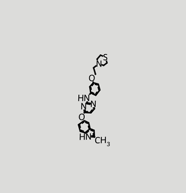 Cc1cc2cc(Oc3ccnc(Nc4cccc(OCCN5CCSCC5)c4)n3)ccc2[nH]1